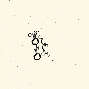 C=CCNCC=C.O=[N+]([O-])c1ccc(N=Nc2ccccc2)cc1